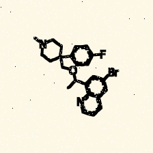 CC(OCC1(c2ccc(F)cc2)CCN(C)CC1)c1cc(Br)cc2cccnc12